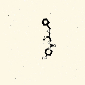 CO[C@@H](COCc1ccccc1)COC(=O)N1CCC(O)CC1